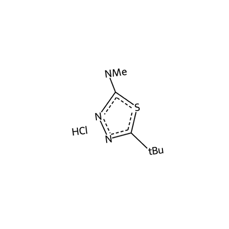 CNc1nnc(C(C)(C)C)s1.Cl